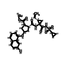 C=C[C@@H]1C[C@]1(NC(=O)[C@@H]1C[C@@H](Oc2nccc3ccc(Cl)cc23)CN1C(=O)OC(C)(C)C)C(=O)NS(=O)(=O)C1CC1